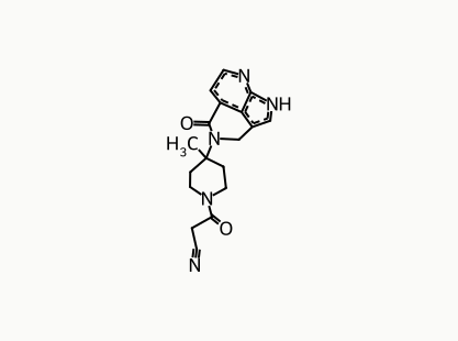 CC1(N2Cc3c[nH]c4nccc(c34)C2=O)CCN(C(=O)CC#N)CC1